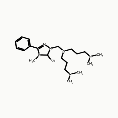 CN(C)CCCN(CCCN(C)C)CN1N=C(c2ccccc2)N(C)C1S